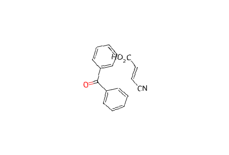 N#CC=CC(=O)O.O=C(c1ccccc1)c1ccccc1